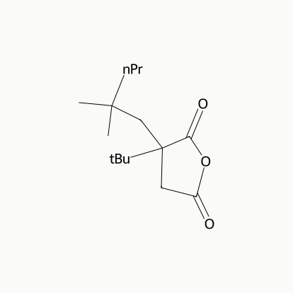 CCCC(C)(C)CC1(C(C)(C)C)CC(=O)OC1=O